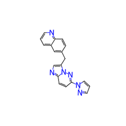 c1cnc2ccc(Cc3cnc4ccc(-n5cccn5)nn34)cc2c1